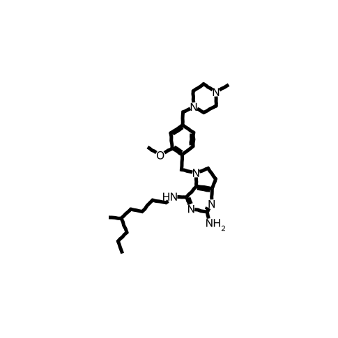 CCCC(C)CCCCNc1nc(N)nc2c1N(Cc1ccc(CN3CCN(C)CC3)cc1OC)CC2